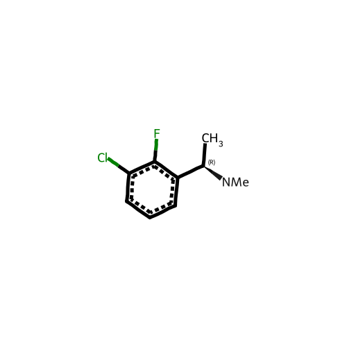 CN[C@H](C)c1cccc(Cl)c1F